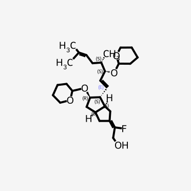 CC(C)=CC[C@H](C)[C@@H](/C=C/[C@@H]1[C@H]2CC(=C(F)CO)C[C@H]2C[C@H]1OC1CCCCO1)OC1CCCCO1